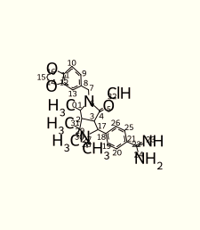 CC1C2C(C(=O)N1Cc1ccc3c(c1)OCO3)C(c1ccc(C(=N)N)cc1)N(C)C2(C)C.Cl